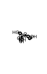 O=C(N[C@@H](Cc1ccc(O)cc1)C(=O)N1CC[C@H]2OCC(=O)[C@H]21)c1ccc2c(ccc[n+]2O)c1